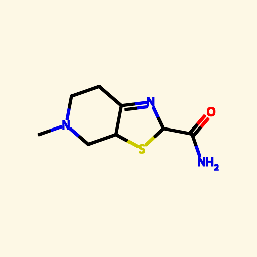 CN1CCC2=NC(C(N)=O)SC2C1